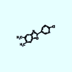 Cc1cc2nc(-c3c[c]c(Cl)cc3)oc2cc1C